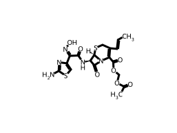 C/C=C/C1=C(C(=O)OCOC(C)=O)N2C(=O)[C@@H](NC(=O)/C(=N\O)c3csc(N)n3)[C@H]2SC1